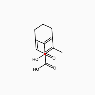 Cc1c(C(=O)O)cc2c(C(=O)O)c1CCC2